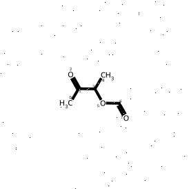 CC(=O)C(C)OC=O